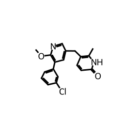 COc1ncc(Cc2ccc(=O)[nH]c2C)cc1-c1cccc(Cl)c1